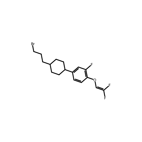 FC(F)=COc1ccc(C2CCC(CCCBr)CC2)cc1F